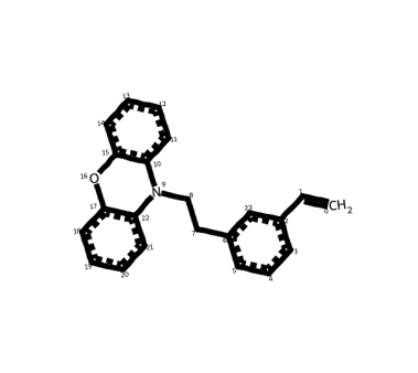 C=Cc1cccc(CCN2c3ccccc3Oc3ccccc32)c1